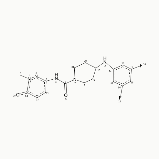 Cn1nc(NC(=O)N2CCC(Nc3cc(F)cc(F)c3)CC2)ccc1=O